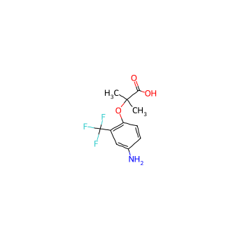 CC(C)(Oc1ccc(N)cc1C(F)(F)F)C(=O)O